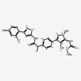 CC(C(=O)Nc1cc(-c2ccc(Cl)cc2Cl)no1)c1ccc(-c2nn(C(C)C)c(NC(=O)OC(C)(C)C)c2C#N)cn1